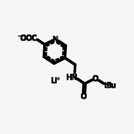 CC(C)(C)OC(=O)NCc1ccc(C(=O)[O-])nc1.[Li+]